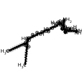 CCCCCCCCCCCCCCCC(=O)OCC(COP(=O)(O)OCCCC(=O)CCCC(=O)NCCOCCOCC(=O)NCCOCCOC[C@H](O)NC(C(=O)CC(CCCCN)C(=O)N1CCCC1C(=O)N1CCCC1C(=O)CC(CCCNC(=N)N)C(=O)O)C(C)O)OC(=O)CCCCCCCCCCCCCCC